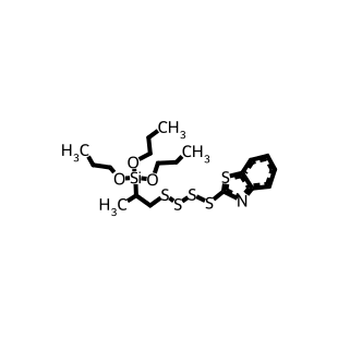 CCCO[Si](OCCC)(OCCC)C(C)CSSSSc1nc2ccccc2s1